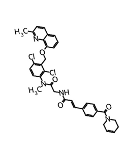 Cc1ccc2cccc(OCc3c(Cl)ccc(N(C)C(=O)CNC(=O)C=Cc4ccc(C(=O)N5CC=CCC5)cc4)c3Cl)c2n1